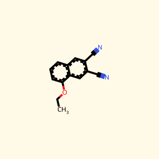 CCOc1cccc2cc(C#N)c(C#N)cc12